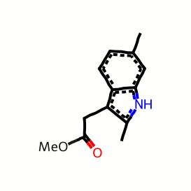 COC(=O)Cc1c(C)[nH]c2cc(C)ccc12